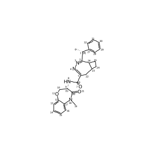 C[C@@H](C1=NN=C(C(=O)N[C@H]2COc3ccccc3N(C)C2=O)CC2CCC12)c1ccccc1